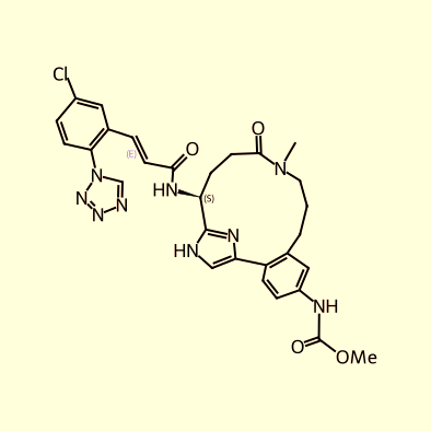 COC(=O)Nc1ccc2c(c1)CCCN(C)C(=O)CC[C@H](NC(=O)/C=C/c1cc(Cl)ccc1-n1cnnn1)c1nc-2c[nH]1